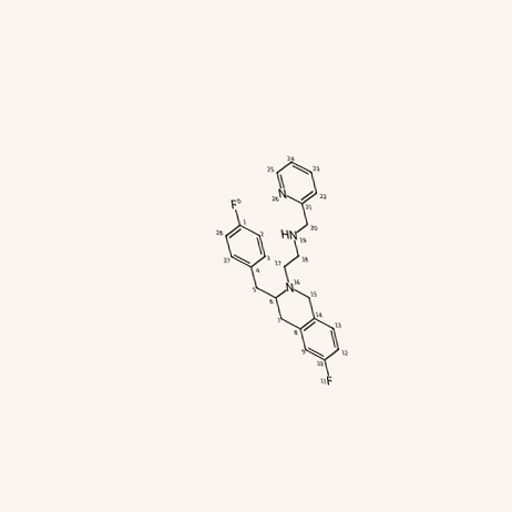 Fc1ccc(CC2Cc3cc(F)ccc3CN2CCNCc2ccccn2)cc1